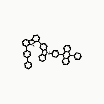 c1ccc(-c2ccc(-c3cccc4c3sc3c(-c5ccc6c(c5)c5ccccc5n6-c5ccc(-c6c7ccccc7c(-c7ccccc7)c7ccccc67)cc5)cccc34)cc2)cc1